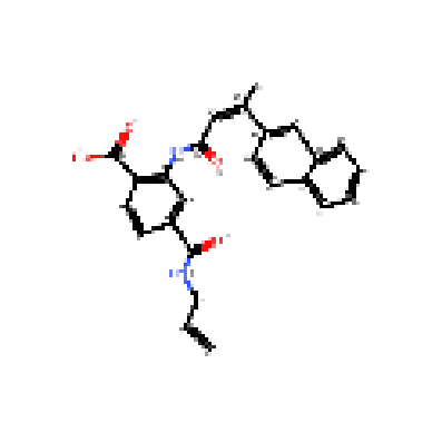 C=CCNC(=O)c1ccc(C(=O)O)c(NC(=O)/C=C(/C)c2ccc3ccccc3c2)c1